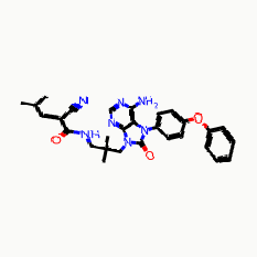 CC(C)C=C(C#N)C(=O)NCC(C)(C)Cn1c(=O)n(-c2ccc(Oc3ccccc3)cc2)c2c(N)ncnc21